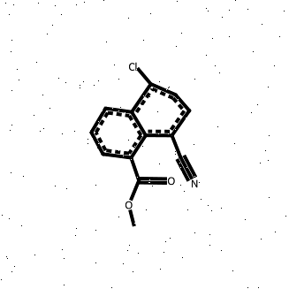 COC(=O)c1cccc2c(Cl)ccc(C#N)c12